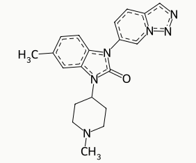 Cc1ccc2c(c1)n(C1CCN(C)CC1)c(=O)n2-c1ccc2cnnn2c1